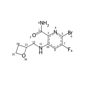 NC(=O)c1nc(Br)c(F)cc1NCC1CCO1